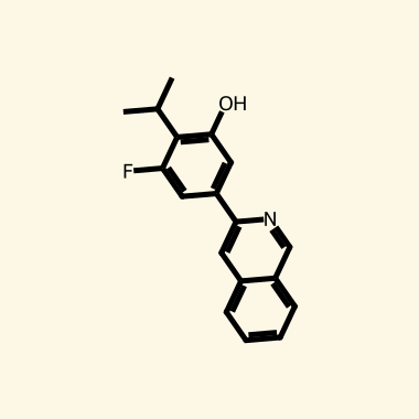 CC(C)c1c(O)cc(-c2cc3ccccc3cn2)cc1F